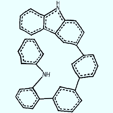 c1ccc(Nc2ccccc2-c2cccc(-c3cccc(-c4ccc5[nH]c6ccccc6c5c4)c3)c2)cc1